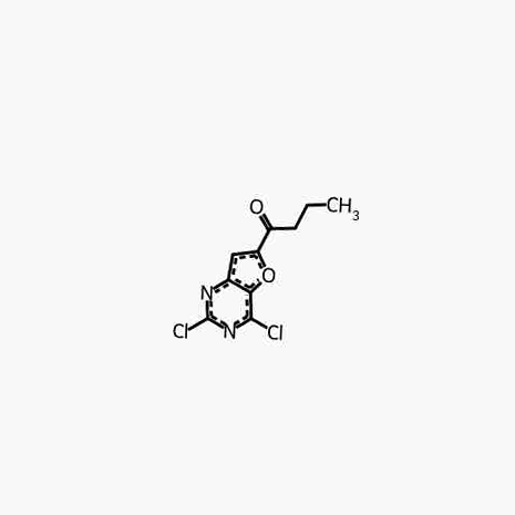 CCCC(=O)c1cc2nc(Cl)nc(Cl)c2o1